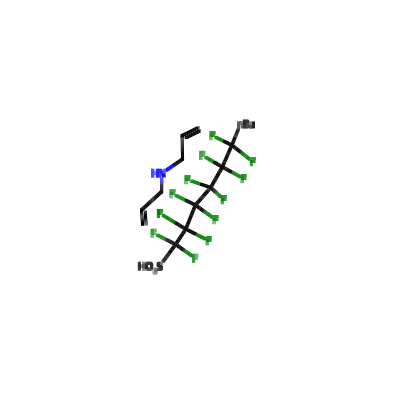 C=CCNCC=C.CCCCC(F)(F)C(F)(F)C(F)(F)C(F)(F)C(F)(F)C(F)(F)S(=O)(=O)O